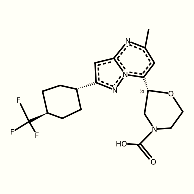 Cc1cc([C@H]2CN(C(=O)O)CCO2)n2nc([C@H]3CC[C@H](C(F)(F)F)CC3)cc2n1